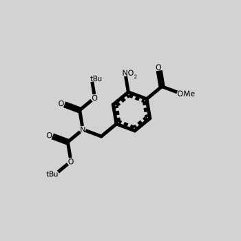 COC(=O)c1ccc(CN(C(=O)OC(C)(C)C)C(=O)OC(C)(C)C)cc1[N+](=O)[O-]